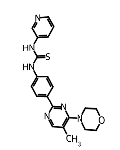 Cc1cnc(-c2ccc(NC(=S)Nc3cccnc3)cc2)nc1N1CCOCC1